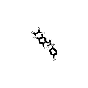 Cc1cc2[nH]c(=O)c(=O)[nH]c2cc1S(=O)(=O)Nc1ccc(C#N)cc1